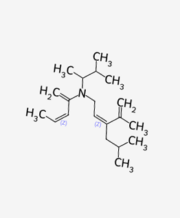 C=C(C)/C(=C\CN(C(=C)/C=C\C)C(C)C(C)C)CC(C)C